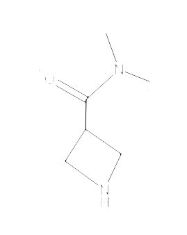 CN(C)C(=O)C1CNC1